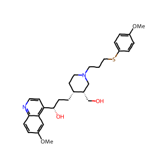 COc1ccc(SCCCN2CC[C@@H](CC[C@H](O)c3ccnc4ccc(OC)cc34)[C@@H](CO)C2)cc1